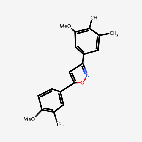 COc1ccc(-c2cc(-c3cc(C)c(C)c(OC)c3)no2)cc1C(C)(C)C